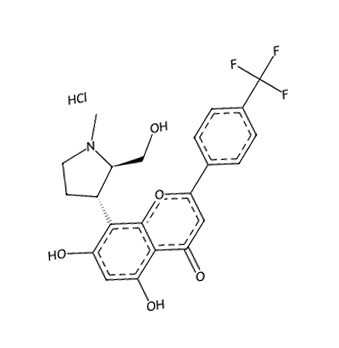 CN1CC[C@@H](c2c(O)cc(O)c3c(=O)cc(-c4ccc(C(F)(F)F)cc4)oc23)[C@@H]1CO.Cl